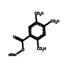 CCCCCCCCCCOC(=O)c1cc(C(=O)O)c(C(=O)O)cc1C(=O)O